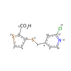 O=C(O)c1sccc1SCc1ccnc(Cl)c1